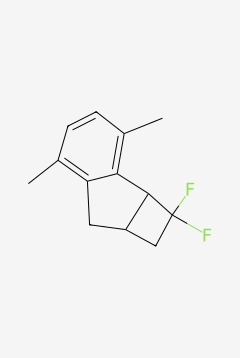 Cc1ccc(C)c2c1CC1CC(F)(F)C21